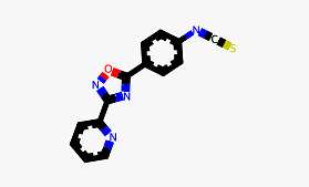 S=C=Nc1ccc(-c2nc(-c3ccccn3)no2)cc1